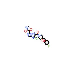 CN(C)C(=O)C(=O)c1ncc2nc(Cl)c(C(=O)N3CCC(O)(Cc4ccc(F)cc4)CC3)nn12